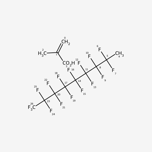 C=C(C)C(=O)O.CC(F)(F)C(F)(F)C(F)(F)C(F)(F)C(F)(F)C(F)(F)C(F)(F)C(F)(F)F